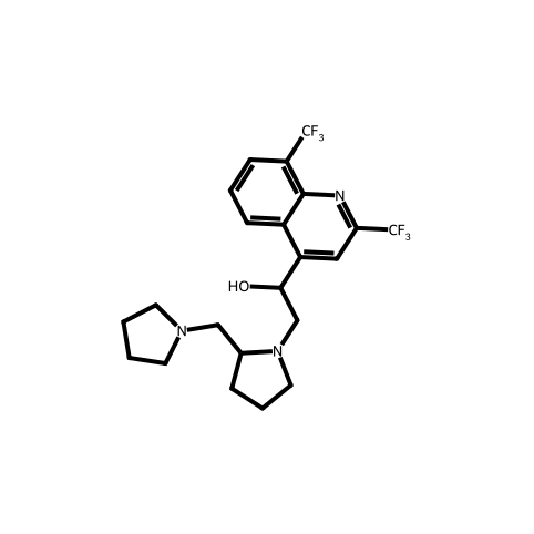 OC(CN1CCCC1CN1CCCC1)c1cc(C(F)(F)F)nc2c(C(F)(F)F)cccc12